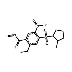 C=NC(=O)c1cc([N+](=O)[O-])c(S(=O)(=O)C2CCCC2C)cc1CC